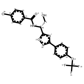 O=C(N[C@H](CO)c1nc(-c2ccc(OC(F)(F)F)cc2)no1)c1ccc(Cl)cc1